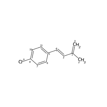 C=C(C)/C=[C]/c1ccc(Cl)cc1